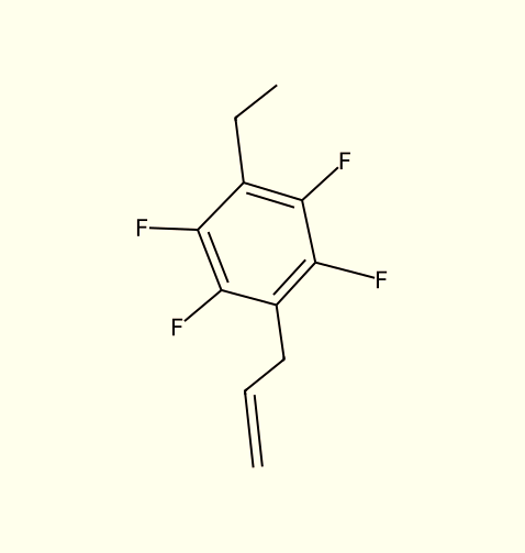 C=CCc1c(F)c(F)c(CC)c(F)c1F